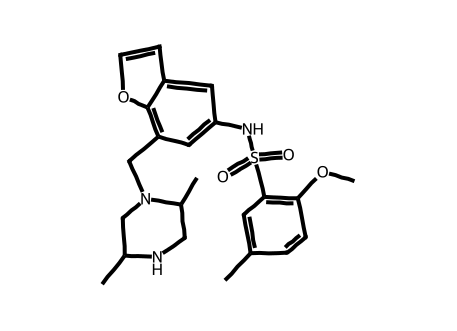 COc1ccc(C)cc1S(=O)(=O)Nc1cc(CN2CC(C)NCC2C)c2occc2c1